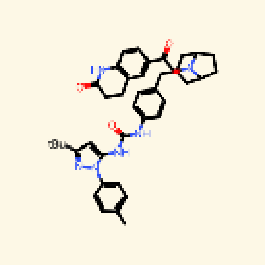 Cc1ccc(-n2nc(C(C)(C)C)cc2NC(=O)Nc2ccc(CC3CC4CCC(C3)N4CC(=O)c3ccc4c(c3)CCC(=O)N4)cc2)cc1